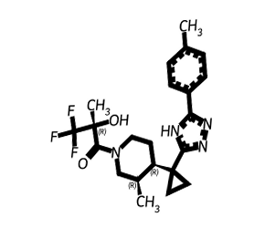 Cc1ccc(-c2nnc(C3([C@@H]4CCN(C(=O)[C@@](C)(O)C(F)(F)F)C[C@@H]4C)CC3)[nH]2)cc1